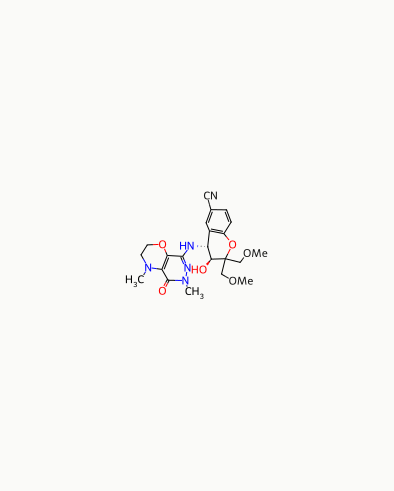 COCC1(COC)Oc2ccc(C#N)cc2[C@@H](Nc2nn(C)c(=O)c3c2OCCN3C)[C@@H]1O